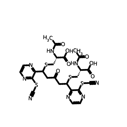 CC(=O)N[C@@H](CSC(CC(=O)CC(SC[C@H](NC(C)=O)C(=O)O)c1nccnc1SC#N)c1nccnc1SC#N)C(=O)O